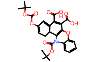 CC(C)(C)OC(=O)OC1=CCC2C(=C1)C(C(=O)O)=C(C(=O)O)C1=C2N(C(=O)OC(C)(C)C)c2ccccc2O1